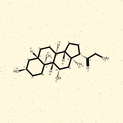 CC(=O)OCC(=O)[C@H]1CC[C@H]2[C@@H]3CC[C@H]4C[C@H](O)CC[C@]4(C)[C@H]3[C@@H](O)C[C@]12C